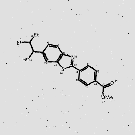 CCC(CC)C(O)c1ccc2nc(-c3ccc(C(=O)OC)cc3)sc2c1